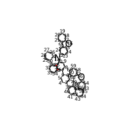 CC1C2=C(C=CC1c1ccc(N(c3ccc4oc5ccccc5c4c3)C3C=CC#CC3c3ccccc3)cc1)c1ccc3ccccc3c1C21c2ccccc2Oc2ccccc21